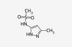 Cc1cc(NS(C)(=O)=O)[nH]n1